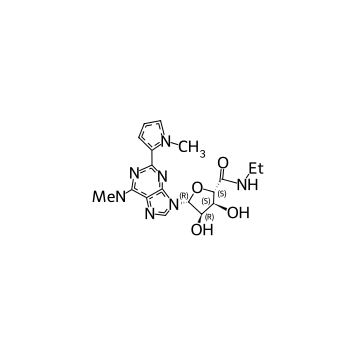 CCNC(=O)[C@H]1O[C@@H](n2cnc3c(NC)nc(-c4cccn4C)nc32)[C@H](O)[C@@H]1O